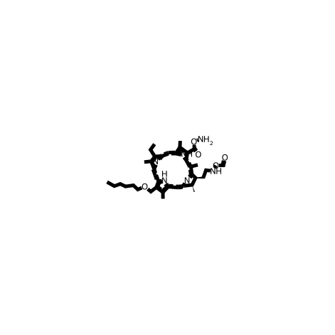 CCCCCCOCc1c(C)c2cc3nc(c(C)c4[nH]c(cc5nc(cc1[nH]2)C(C)=C5CC)c(C)c4C(=O)ON)[C@@H](CCNOC=O)[C@@H]3C